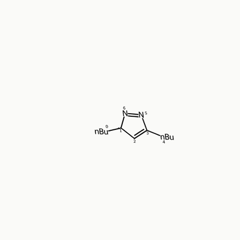 CCCC[C]1C=C(CCCC)N=N1